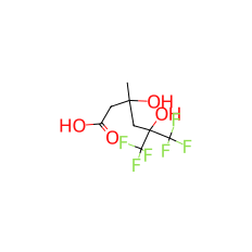 CC(O)(CC(=O)O)CC(O)(C(F)(F)F)C(F)(F)F